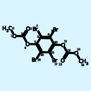 COC(=O)Oc1c(Br)c(Br)c(OC(=O)OC)c(Br)c1Br